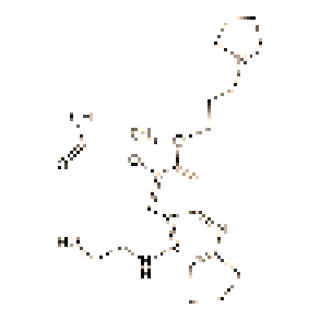 COc1cc2c(NCCO)c3c(nc2cc1OCCCN1CCCC1)CCC3.O=CO